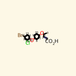 CC(/C=C/C(=O)O)Oc1ccc(Oc2ccc(Br)cc2Cl)cc1